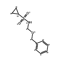 O=S(=O)(NCOCc1ccccc1)C1CC1